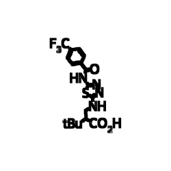 CC(C)(C)C(CNc1nnc(NC(=O)c2ccc(C(F)(F)F)cc2)s1)C(=O)O